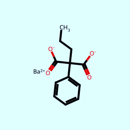 CCCC(C(=O)[O-])(C(=O)[O-])c1ccccc1.[Ba+2]